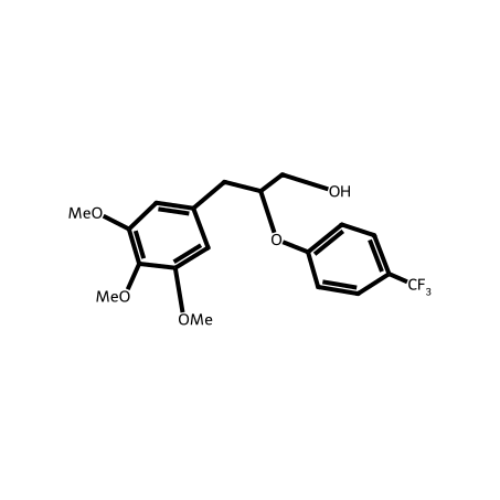 COc1cc(CC(CO)Oc2ccc(C(F)(F)F)cc2)cc(OC)c1OC